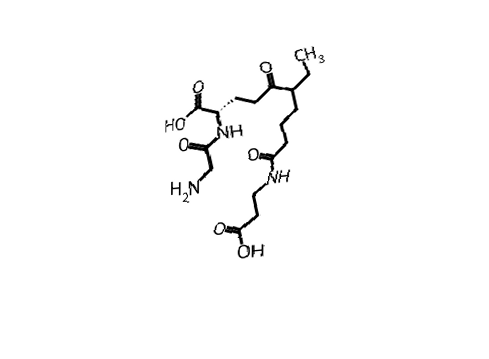 CCC(CCCC(=O)NCCC(=O)O)C(=O)CC[C@H](NC(=O)CN)C(=O)O